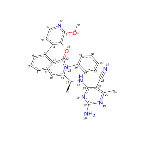 COc1cc(-c2cccc3cc([C@H](C)Nc4nc(N)nc(C)c4C#N)n(-c4ccccc4)c(=O)c23)ccn1